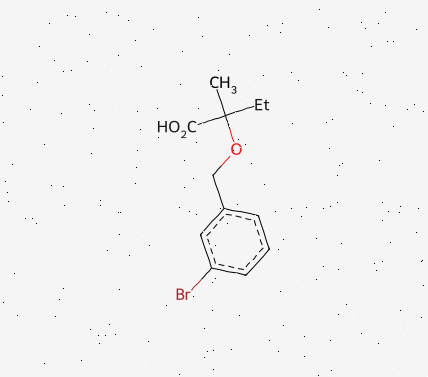 CCC(C)(OCc1cccc(Br)c1)C(=O)O